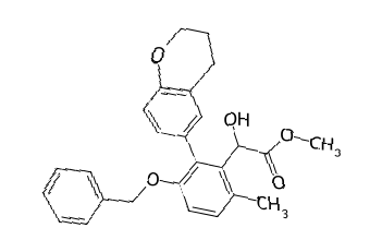 COC(=O)C(O)c1c(C)ccc(OCc2ccccc2)c1-c1ccc2c(c1)CCCO2